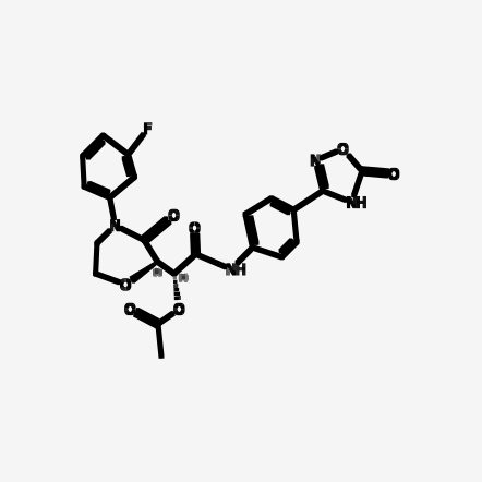 CC(=O)O[C@@H](C(=O)Nc1ccc(-c2noc(=O)[nH]2)cc1)[C@H]1OCCN(c2cccc(F)c2)C1=O